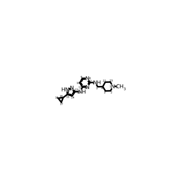 CN1CCC(CNc2nccc(Nc3cc(C4CC4)[nH]n3)n2)CC1